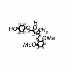 COc1cccc(OC)c1CCN(C)CC(O)COc1ccc(O)cc1